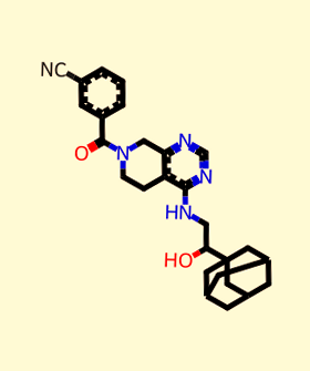 N#Cc1cccc(C(=O)N2CCc3c(ncnc3NCC(O)C34CC5CC(CC(C5)C3)C4)C2)c1